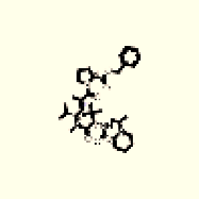 C/C(=C\[C@H](C(C)C)N(C)C(=O)[C@@H](NC(=O)[C@H]1CCCCN1C(C)C)C(C)(C)C)C(=O)N1CCC[C@H]1C(=O)OCc1ccccc1